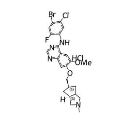 COc1cc2c(Nc3cc(Cl)c(Br)cc3F)ncnc2cc1OC[C@H]1CC2CN(C)C[C@H]2C1.Cl